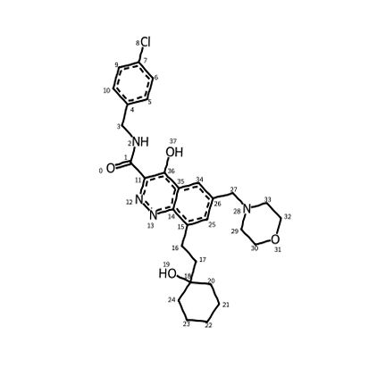 O=C(NCc1ccc(Cl)cc1)c1nnc2c(CCC3(O)CCCCC3)cc(CN3CCOCC3)cc2c1O